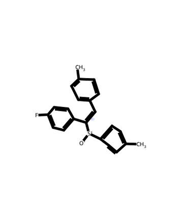 Cc1ccc(/C=C(\c2ccc(F)cc2)[S+]([O-])c2ccc(C)cc2)cc1